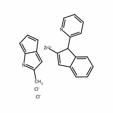 CC1=NC2=CC=CC2=C1.[Cl-].[Cl-].[Zr+2][C]1=Cc2ccccc2C1c1ccccn1